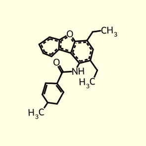 CCc1cc(CC)c2oc3ccccc3c2c1NC(=O)C1=CCC(C)C=C1